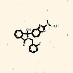 CN(C(=O)O)c1nc2cc(C3(O)c4ccccc4C(=O)N3Cc3ccccc3F)ccc2[nH]1